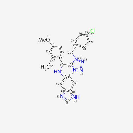 COc1ccc(C(Nc2ccc3[nH]cnc3c2)c2nnnn2Cc2ccc(Cl)cc2)c(C)c1